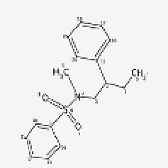 [CH2]CC(CN(C)S(=O)(=O)c1ccccc1)c1ccccc1